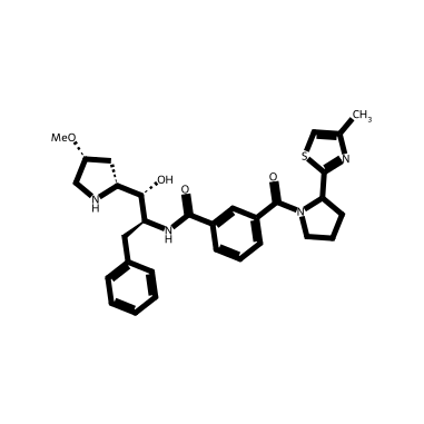 CO[C@H]1CN[C@@H]([C@H](O)[C@H](Cc2ccccc2)NC(=O)c2cccc(C(=O)N3CCCC3c3nc(C)cs3)c2)C1